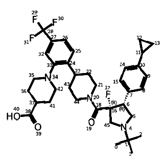 CC(C)(C)N1C[C@@H](c2ccc(C3CC3)cc2)[C@](F)(C(=O)N2CCC(c3ccc(C(F)(F)F)cc3N3CCC(C(=O)O)CC3)CC2)C1